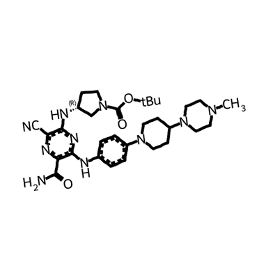 CN1CCN(C2CCN(c3ccc(Nc4nc(N[C@@H]5CCN(C(=O)OC(C)(C)C)C5)c(C#N)nc4C(N)=O)cc3)CC2)CC1